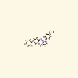 Cc1ccc(-c2ccc(O)cc2)n1Cc1ccc(C2CCCCC2)cc1